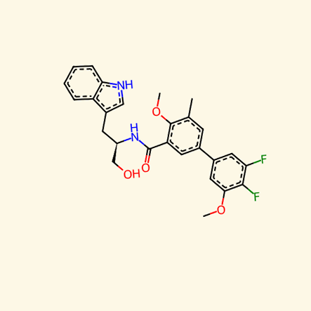 COc1cc(-c2cc(C)c(OC)c(C(=O)N[C@@H](CO)Cc3c[nH]c4ccccc34)c2)cc(F)c1F